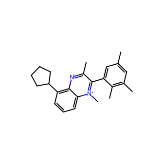 Cc1cc(C)c(C)c(-c2c(C)nc3c(C4CCCC4)cccc3[n+]2C)c1